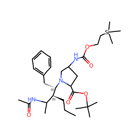 CCC[C@@H](C(C)NC(C)=O)[C@H](Cc1ccccc1)N1CC(NC(=O)OCC[Si](C)(C)C)CC1C(=O)OC(C)(C)C